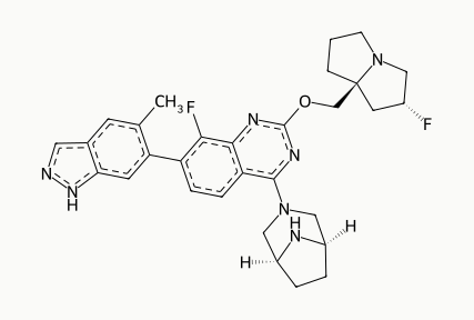 Cc1cc2cn[nH]c2cc1-c1ccc2c(N3C[C@H]4CC[C@@H](C3)N4)nc(OC[C@@]34CCCN3C[C@H](F)C4)nc2c1F